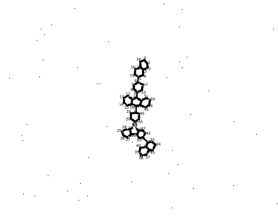 c1ccc2cc(-c3ccc(-c4c5ccccc5c(-c5ccc(-n6c7ccccc7c7cc(-c8cccc9ccccc89)ccc76)cc5)c5ccccc45)cc3)ccc2c1